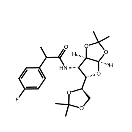 CC(C(=O)N[C@@H]1[C@H]2OC(C)(C)O[C@H]2O[C@@H]1[C@H]1COC(C)(C)O1)c1ccc(F)cc1